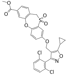 COC(=O)c1ccc2c(c1)Oc1ccc(OCc3c(-c4c(Cl)cccc4Cl)noc3C3CC3)cc1S(=O)(=O)C2